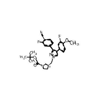 COc1ccc(-c2cn(C[C@H]3CCN(C(=O)OC(C)(C)C)C3)nc2-c2ccc(C#N)c(F)c2)cc1F